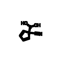 N#CS1(B(O)O)C=CC=C1